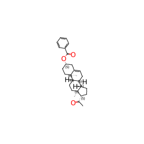 CC(=O)[C@H]1CC[C@H]2[C@@H]3CC=C4C[C@@H](OC(=O)c5ccccc5)CC[C@]4(C)[C@H]3CC[C@]12C